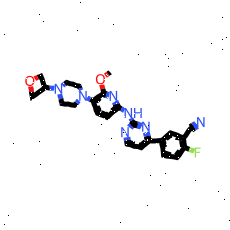 COc1nc(Nc2nccc(-c3ccc(F)c(C#N)c3)n2)ccc1N1CCN(C2COC2)CC1